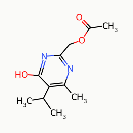 CC(=O)OCc1nc(C)c(C(C)C)c(O)n1